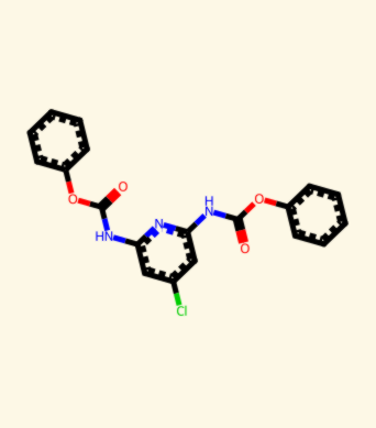 O=C(Nc1cc(Cl)cc(NC(=O)Oc2ccccc2)n1)Oc1ccccc1